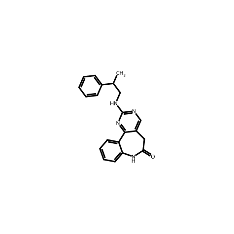 CC(CNc1ncc2c(n1)-c1ccccc1NC(=O)C2)c1ccccc1